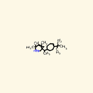 CC(C1CCCC(C(C)(C)C)CC1)C12CNCC(C)(C)CC1(C)C2